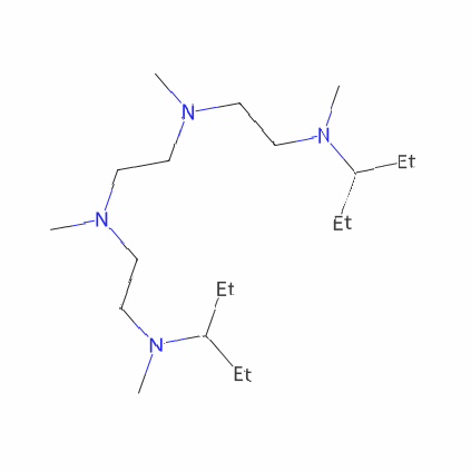 CCC(CC)N(C)CCN(C)CCN(C)CCN(C)C(CC)CC